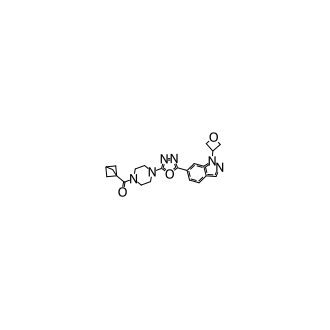 O=C(N1CCN(c2nnc(-c3ccc4cnn(C5COC5)c4c3)o2)CC1)C12CC(C1)C2